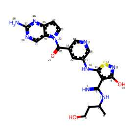 CC(CCO)NC(=N)c1c(O)nsc1Nc1cncc(C(=O)n2ccc3nc(N)ncc32)c1